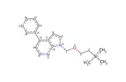 C[Si](C)(C)CCOCn1ccc2c(-c3cccnc3)ccnc21